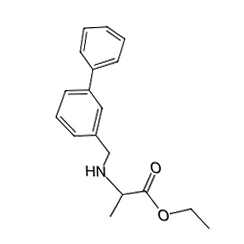 CCOC(=O)C(C)NCc1cccc(-c2ccccc2)c1